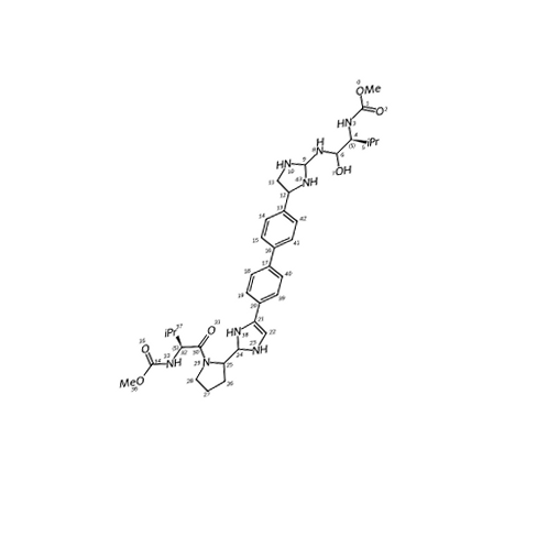 COC(=O)N[C@@H](C(C)C)C(O)NC1NCC(c2ccc(-c3ccc(C4=CNC(C5CCCN5C(=O)[C@@H](NC(=O)OC)C(C)C)N4)cc3)cc2)N1